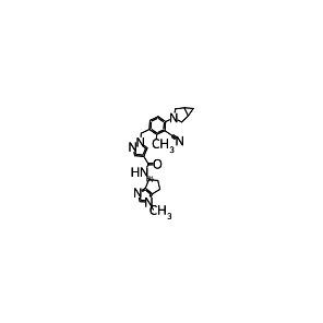 Cc1c(Cn2cc(C(=O)N[C@@H]3CCc4c3ncn4C)cn2)ccc(N2CC3CC3C2)c1C#N